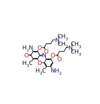 Cc1c2oc3c(C)c(N)cc(OC(=O)CCCN(C)C)c3nc-2c(OC(=O)CCCN(C)C)c(N)c1=O